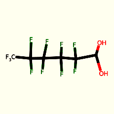 OC(O)C(F)(F)C(F)(F)C(F)(F)C(F)(F)C(F)(F)F